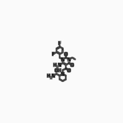 CCn1c(=O)c(C(=O)CN2CCCCC2C(N)O)c(N)n(Cc2ccc(F)cc2F)c1=O